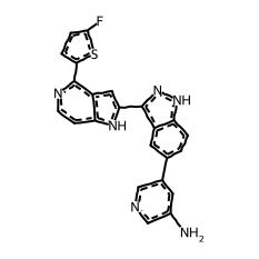 Nc1cncc(-c2ccc3[nH]nc(-c4cc5c(-c6ccc(F)s6)nccc5[nH]4)c3c2)c1